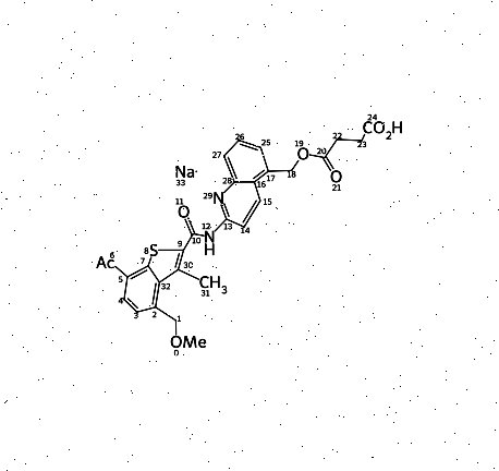 COCc1ccc(C(C)=O)c2sc(C(=O)Nc3ccc4c(COC(=O)CCC(=O)O)cccc4n3)c(C)c12.[Na]